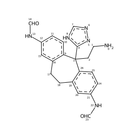 NCCC1(c2nnc[nH]2)c2ccc(NC=O)cc2CCc2cc(NC=O)ccc21